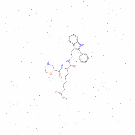 CC(=O)CCCCCC(NC(=O)C1CNCCO1)C(=O)NCCc1c(-c2ccccc2)[nH]c2ccccc12